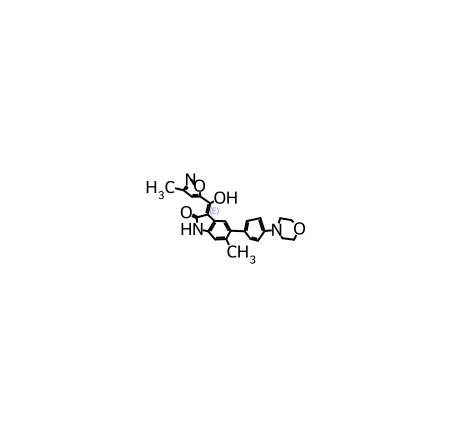 Cc1cc(/C(O)=C2\C(=O)Nc3cc(C)c(-c4ccc(N5CCOCC5)cc4)cc32)on1